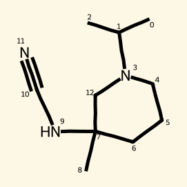 CC(C)N1CCCC(C)(NC#N)C1